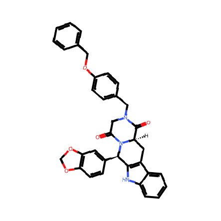 O=C1[C@H]2Cc3c([nH]c4ccccc34)[C@@H](c3ccc4c(c3)OCO4)N2C(=O)CN1Cc1ccc(OCc2ccccc2)cc1